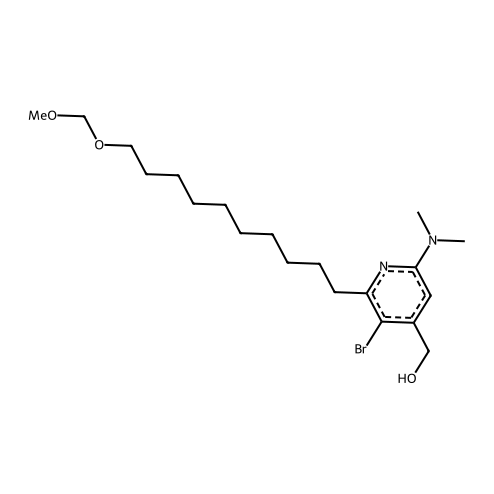 COCOCCCCCCCCCCc1nc(N(C)C)cc(CO)c1Br